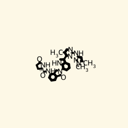 Cc1cnc(Nc2cc(C)n(C)n2)nc1-c1c[nH]c2c(N3Cc4c(NC(=O)[C@@H]5CCC(=O)N5)cccc4C3=O)cccc12